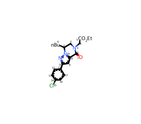 CCCCC1CN(CC(=O)OCC)C(=O)c2cc(-c3ccc(Cl)cc3)nn21